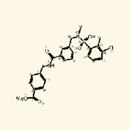 COC(=O)c1ccc(CNC(=O)c2cccc(CN(C)S(=O)(=O)c3cccc(Cl)c3C)c2)cc1